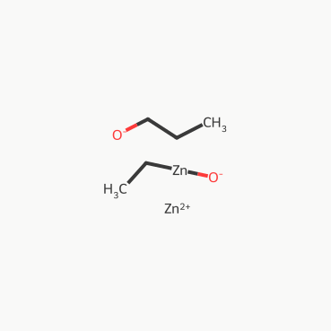 CCC[O-].C[CH2][Zn][O-].[Zn+2]